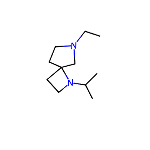 CCN1CCC2(CCN2C(C)C)C1